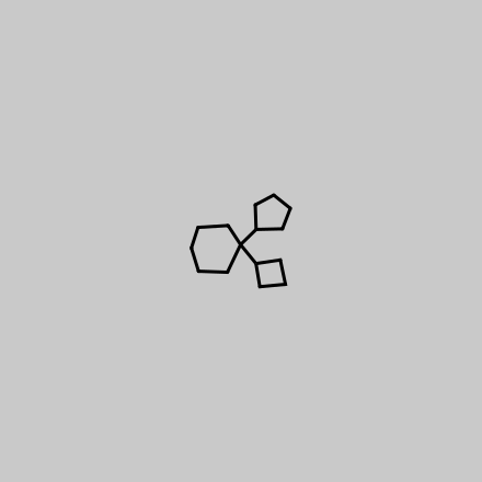 C1CCC(C2CCCC2)(C2CCC2)CC1